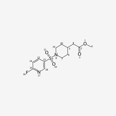 COC(=O)CC1CCN(S(=O)(=O)c2ccc(F)nc2)CC1